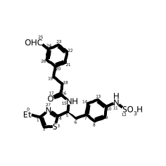 CCc1csc([C@H](Cc2ccc(NS(=O)(=O)O)cc2)NC(=O)CCc2cccc(C=O)c2)n1